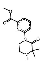 COC(=O)c1cccc(N2CCNC(C)(C)C2=O)n1